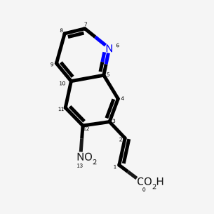 O=C(O)C=Cc1cc2ncccc2cc1[N+](=O)[O-]